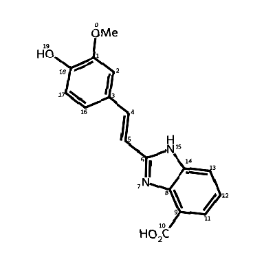 COc1cc(/C=C/c2nc3c(C(=O)O)cccc3[nH]2)ccc1O